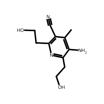 Cc1c(N)c(CCO)nc(CCO)c1C#N